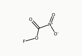 O=C(OF)[N+](=O)[O-]